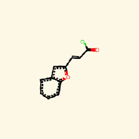 O=C(Cl)C=Cc1cc2ccccc2o1